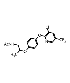 CC(=O)NCC(C)Oc1ccc(Oc2ncc(C(F)(F)F)cc2Cl)cc1